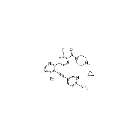 CCc1ncnc(-c2ccc(C(=O)N3CCN(CC4CC4)CC3)c(F)c2)c1C#Cc1ccc(N)nc1